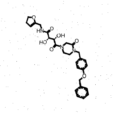 O=C(NCC1=CCCO1)[C@H](O)[C@@H](O)C(=O)N1CCN(Cc2ccc(OCc3ccccc3)cc2)C(=O)C1